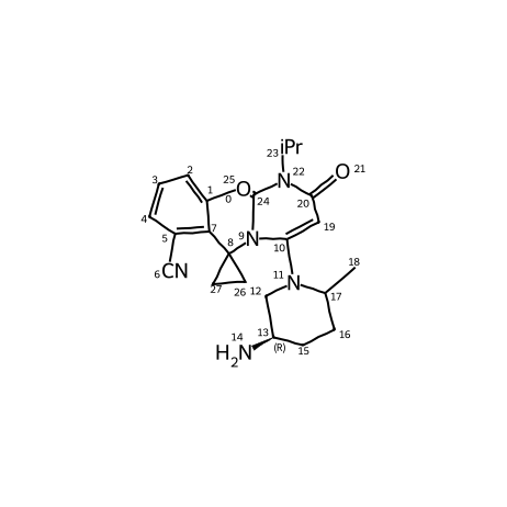 Cc1cccc(C#N)c1C1(n2c(N3C[C@H](N)CCC3C)cc(=O)n(C(C)C)c2=O)CC1